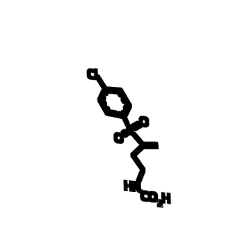 C=C(CCNC(=O)O)S(=O)(=O)c1ccc(Cl)cc1